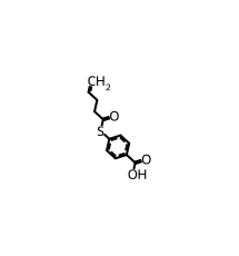 C=CCCC(=O)Sc1ccc(C(=O)O)cc1